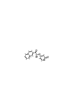 O=C(c1ccc2ccccc2c1)C(Br)Oc1ccnc(Cl)c1